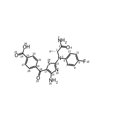 C[C@H](C(N)=O)N(c1ccc(F)cc1)c1nc(N)c(C(=O)c2ccc(C(=O)O)cc2)s1